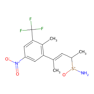 CC(=CC(C)[S+](N)[O-])c1cc([N+](=O)[O-])cc(C(F)(F)F)c1C